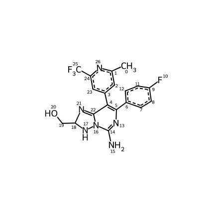 Cc1cc(C2=C(c3ccc(F)cc3)N=C(N)N3NC(CO)N=C23)cc(C(F)(F)F)n1